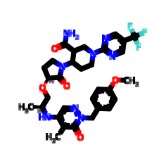 COc1ccc(Cn2ncc(N[C@@H](C)CO[C@@H]3CCN(C4CCN(c5ncc(C(F)(F)F)cn5)CC4C(N)=O)C3=O)c(C)c2=O)cc1